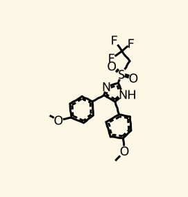 COc1ccc(-c2nc(S(=O)(=O)CC(F)(F)F)[nH]c2-c2ccc(OC)cc2)cc1